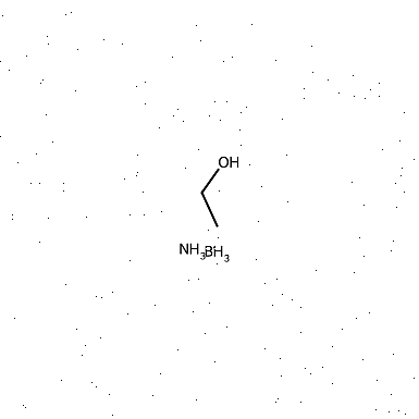 B.CCO.N